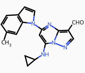 Cc1ccc2ccn(-c3cc(NC4CC4)n4ncc(C=O)c4n3)c2c1